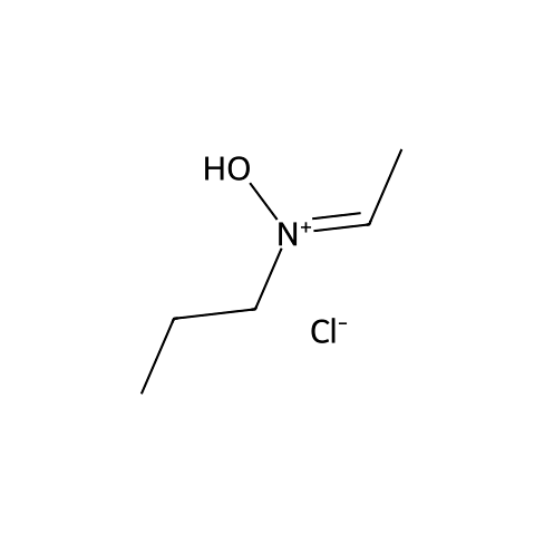 CC=[N+](O)CCC.[Cl-]